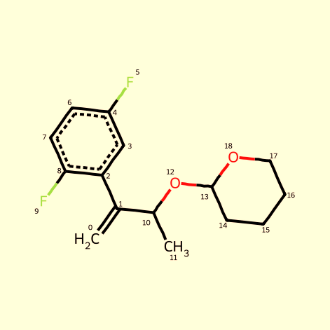 C=C(c1cc(F)ccc1F)C(C)OC1CCCCO1